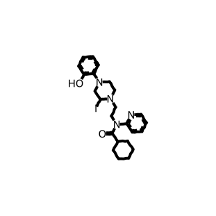 O=C(C1CCCCC1)N(CCN1CCN(c2ccccc2O)CC1I)c1ccccn1